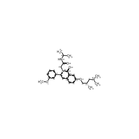 COc1cccc(-c2cc3ccc(OC[C@@H](C)CN(C)C)cc3c(=O)n2CC(=O)NC(C)C)c1